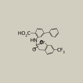 O=C(O)c1ccc(-c2ccccc2)cc1NS(=O)(=O)Cc1ccc(C(F)(F)F)cc1Br